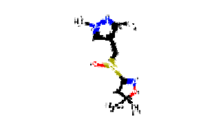 Cn1cc(C[S+]([O-])C2=NOC(C)(C)C2)c(C(F)(F)F)n1